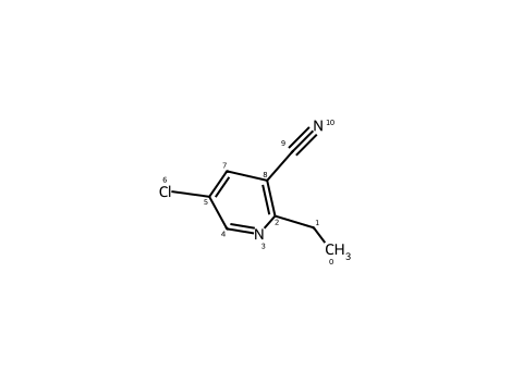 CCc1ncc(Cl)cc1C#N